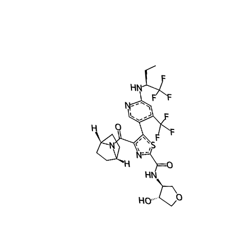 CC[C@H](Nc1cc(C(F)(F)F)c(-c2sc(C(=O)N[C@H]3COC[C@@H]3O)nc2C(=O)N2[C@H]3CC[C@@H]2CC3)cn1)C(F)(F)F